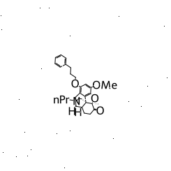 CCCN1CC[C@]23c4c5c(OCCCc6ccccc6)cc(OC)c4O[C@@]2(C)C(=O)CC[C@H]3[C@H]1C5